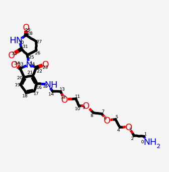 NCCOCCOCCOCCOCCNc1cccc2c1C(=O)N(C1CCC(=O)NC1=O)C2=O